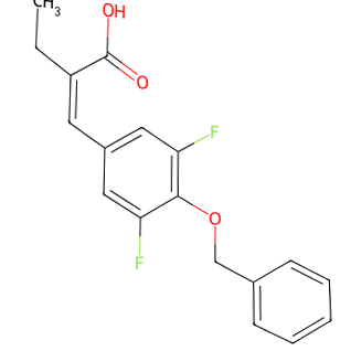 CCC(=Cc1cc(F)c(OCc2ccccc2)c(F)c1)C(=O)O